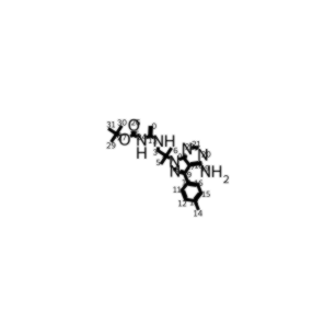 C=C(NCC(C)(C)n1nc(-c2ccc(C)cc2)c2c(N)ncnc21)NC(=O)OC(C)(C)C